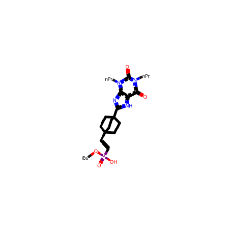 CCCn1c(=O)c2[nH]c(C34CCC(C=CP(=O)(O)OC(C)CC)(CC3)CC4)nc2n(CCC)c1=O